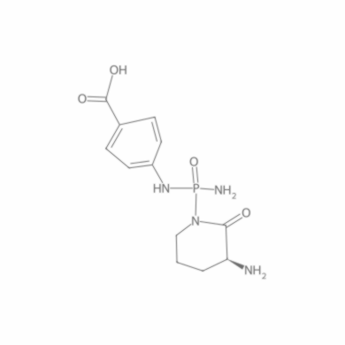 N[C@H]1CCCN(P(N)(=O)Nc2ccc(C(=O)O)cc2)C1=O